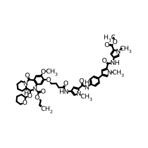 C=CCOC(=O)N1c2cc(OCCCC(=O)Nc3cc(C(=O)Nc4ccc(-c5cc(C(=O)Nc6cc(C(=O)OC)n(C)c6)n(C)c5)cc4)n(C)c3)c(OC)cc2C(=O)N2CCCC[C@H]2C1OC1CCCCO1